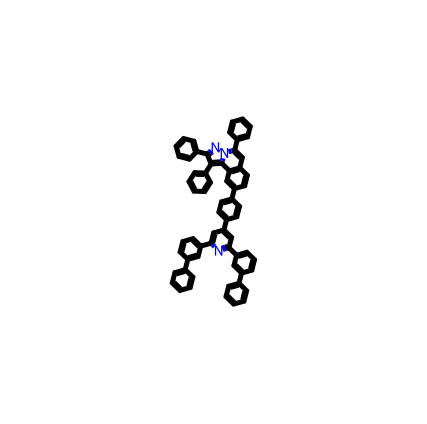 c1ccc(-c2cccc(-c3cc(-c4ccc(-c5ccc6cc(-c7ccccc7)n7nc(-c8ccccc8)c(-c8ccccc8)c7c6c5)cc4)cc(-c4cccc(-c5ccccc5)c4)n3)c2)cc1